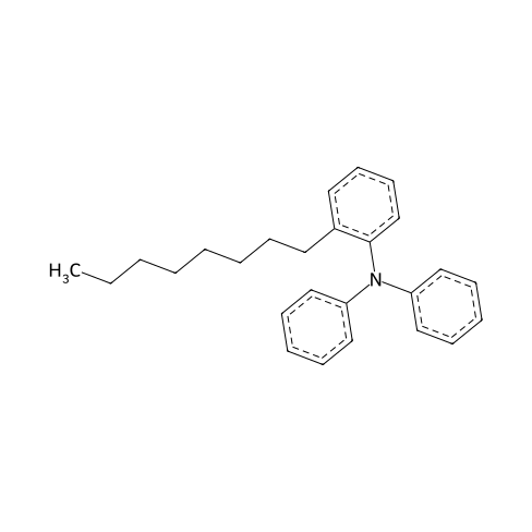 CCCCCCCCc1ccccc1N(c1ccccc1)c1ccccc1